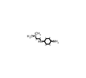 CN(C)CCNC1CCC(N)CC1